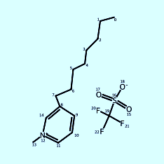 CCCCCCCCc1ccc[n+](C)c1.O=S(=O)([O-])C(F)(F)F